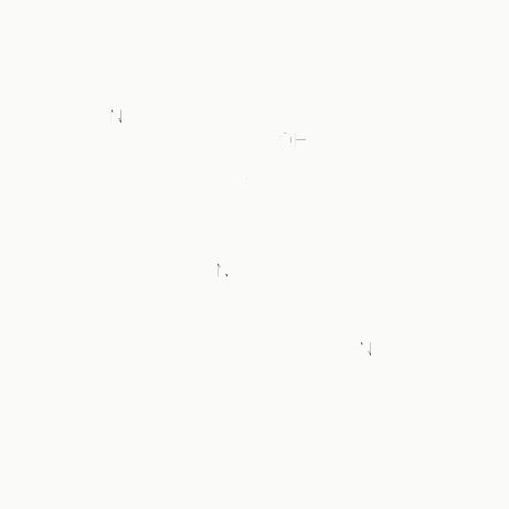 Cc1cc(C)c2c(c1)c1c(n2CC(C)(O)c2cccnc2)CCN2CCCC12